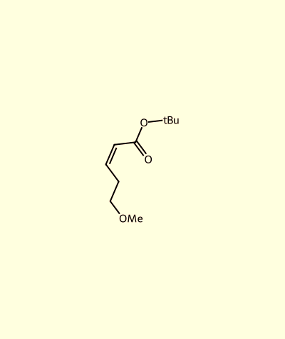 COCC/C=C\C(=O)OC(C)(C)C